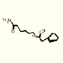 NC(=O)CCCCCNC(=O)[CH]c1ccccc1